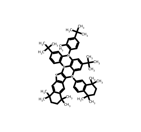 Cc1cc(C(C)(C)C)ccc1N1c2cc(C(C)(C)C)ccc2B2c3sc4cc5c(cc4c3N(c3ccc4c(c3)C(C)(C)CCC4(C)C)c3cc(C(C)(C)C)cc1c32)C(C)(C)CCC5(C)C